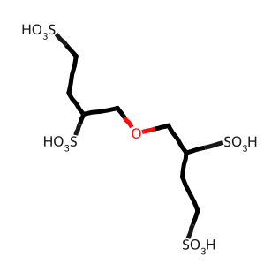 O=S(=O)(O)CCC(COCC(CCS(=O)(=O)O)S(=O)(=O)O)S(=O)(=O)O